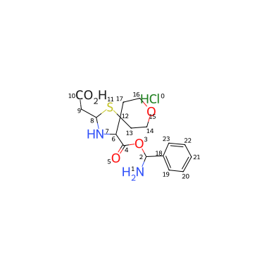 Cl.NC(OC(=O)C1NC(CC(=O)O)SC12CCOCC2)c1ccccc1